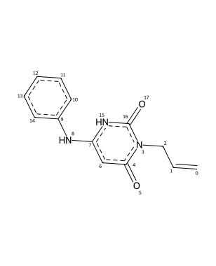 C=CCn1c(=O)cc(Nc2ccccc2)[nH]c1=O